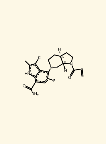 C=CC(=O)N1CC[C@@H]2CCN(c3c(F)cc(C(N)=O)c4[nH]c(C)c(Cl)c34)C[C@H]21